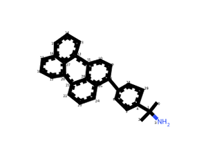 CC(C)(N)c1ccc(-c2ccc3c4cccc5cccc(c6cccc2c63)c54)cc1